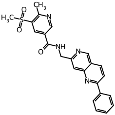 Cc1ncc(C(=O)NCc2cc3nc(-c4ccccc4)ccc3cn2)cc1S(C)(=O)=O